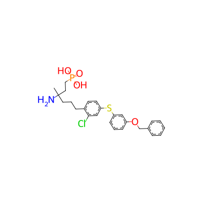 CC(N)(CCCc1ccc(Sc2cccc(OCc3ccccc3)c2)cc1Cl)CCP(=O)(O)O